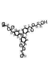 O=C(Cc1ccc(N(c2ccc(CC(=O)OCC3CO3)cc2)c2ccc(CC(=O)OCC3CO3)cc2)cc1)OCCCO